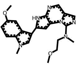 COCCN(C)c1ncc2cnc3[nH]c(-c4cn(C)c5ccc(OC)cc45)cc3n12